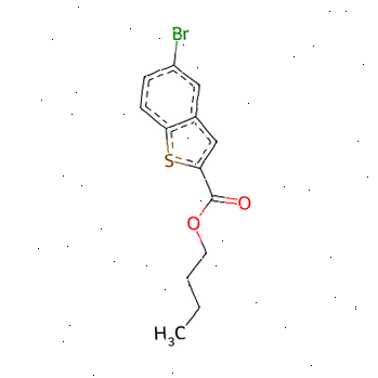 CCCCOC(=O)c1cc2cc(Br)ccc2s1